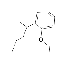 CCCC(C)c1ccccc1OCC